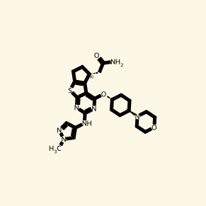 Cn1cc(Nc2nc(O[C@H]3CC[C@H](N4CCOCC4)CC3)c3c4c(sc3n2)CC[C@@H]4CC(N)=O)cn1